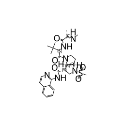 CN[C@@H](C)C(=O)N[C@H](C(=O)N1CC[C@@H]2[C@H]1[C@@H](C(=O)Nc1nccc3ccccc13)CN2S(C)(=O)=O)C(C)(C)C